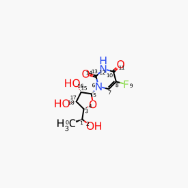 C[C@H](O)[C@H]1O[C@@H](n2cc(F)c(=O)[nH]c2=O)[C@@H](O)[C@H]1O